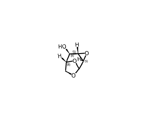 O[C@H]1[C@@H]2O[C@@H]2C2OC[C@H]1O2